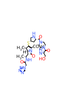 C[C@@H](NC(=O)Cn1cnnn1)[C@H]1C(=O)N2C(C(=O)O)=C(S[C@@H]3CN[C@H](C(=O)N4CCN(C(=O)[C@@H](N)CO)CC4)C3)[C@H](C)[C@H]12